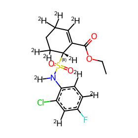 [2H]C1=C(C(=O)OCC)[C@]([2H])(S(=O)(=O)N([2H])c2c([2H])c([2H])c(F)c([2H])c2Cl)C([2H])([2H])CC1([2H])[2H]